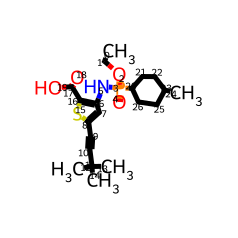 CCOP(=O)(Nc1cc(C#CC(C)(C)C)sc1C(=O)O)C1CCC(C)CC1